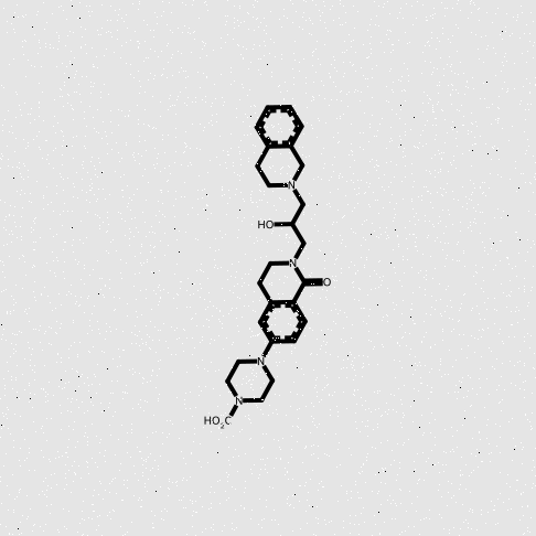 O=C(O)N1CCN(c2ccc3c(c2)CCN(CC(O)CN2CCc4ccccc4C2)C3=O)CC1